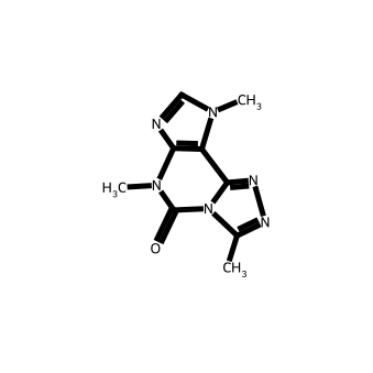 Cc1nnc2c3c(ncn3C)n(C)c(=O)n12